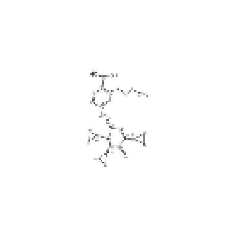 CCCCc1cc(S)ccc1C(=O)O.O=C1C=C(N2CC2)C(=O)C(N2CC2)=C1N1CC1